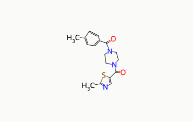 Cc1ccc(C(=O)N2CCN(C(=O)c3cnc(C)s3)CC2)cc1